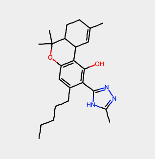 CCCCCc1cc2c(c(O)c1-c1nnc(C)[nH]1)C1C=C(C)CCC1C(C)(C)O2